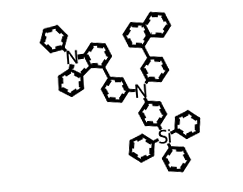 c1ccc(-n2c3ccccc3c3c(-c4cccc(N(c5ccc([Si](c6ccccc6)(c6ccccc6)c6ccccc6)cc5)c5cccc(-c6cccc7ccccc67)c5)c4)cccc32)cc1